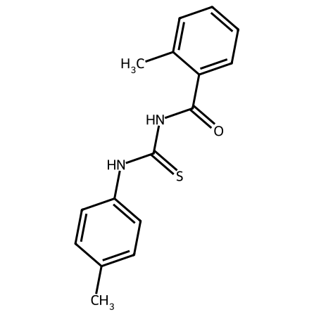 Cc1ccc(NC(=S)NC(=O)c2ccccc2C)cc1